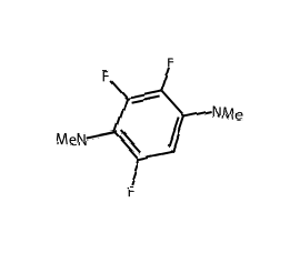 CNc1cc(F)c(NC)c(F)c1F